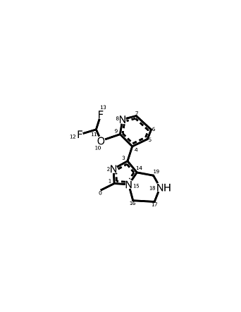 Cc1nc(-c2cccnc2OC(F)F)c2n1CCNC2